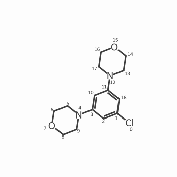 Clc1cc(N2CCOCC2)cc(N2CCOCC2)c1